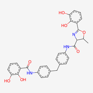 CC1OC(c2cccc(O)c2O)=NC1C(=O)Nc1ccc(Cc2ccc(NC(=O)c3cccc(O)c3O)cc2)cc1